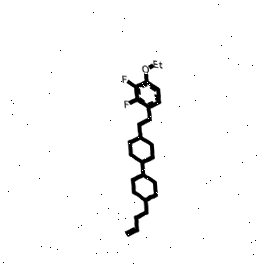 C=CCCC1CCC(C2CCC(CCc3ccc(OCC)c(F)c3F)CC2)CC1